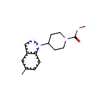 CC(C)(C)OC(=O)N1CCC(n2ncc3cc(C(=O)O)ccc32)CC1